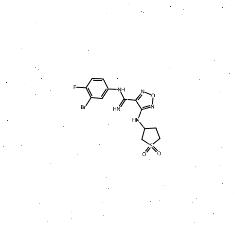 N=C(Nc1ccc(F)c(Br)c1)c1nonc1NC1CCS(=O)(=O)C1